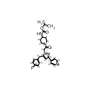 CC(C)OC(=O)NC1CCN(C(=O)Cn2nc(-c3ccncc3)cc2Cc2ccc(F)cc2)CC1